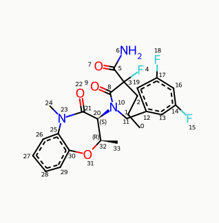 CCCC(F)(C(N)=O)C(=O)N(Cc1cc(F)cc(F)c1)[C@@H]1C(=O)N(C)c2ccccc2O[C@@H]1C